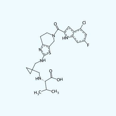 CC(C)[C@H](NCC1(CNc2nc3c(s2)CN(C(=O)c2cc4c(Cl)cc(F)cc4[nH]2)CC3)CC1)C(=O)O